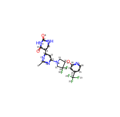 Cc1nc(-c2c[nH]c(=O)[nH]c2=O)cc(N2C[C@H](Oc3cc(C(F)(F)F)ccn3)C(F)(F)C2)n1